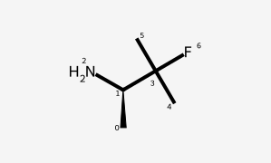 C[C@@H](N)C(C)(C)F